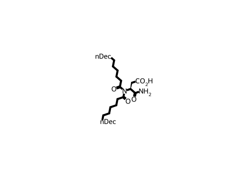 CCCCCCCCCCCCCCCC(=O)N(C(=O)CCCCCCCCCCCCCCC)[C@@H](CC(=O)O)C(N)=O